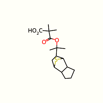 CC(C)(C(=O)O)C(=O)OC(C)(C)C1CC2SC1C1CCCC21